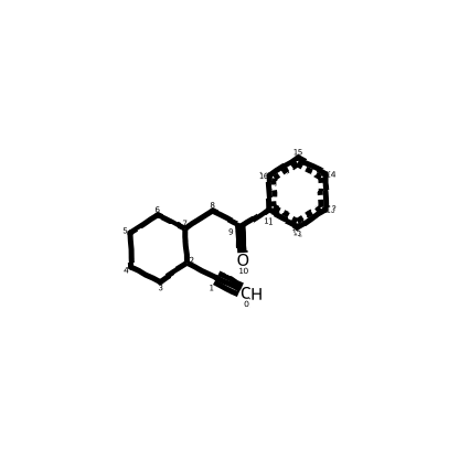 C#CC1CCCCC1CC(=O)c1ccccc1